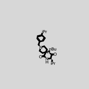 CCCCN1C(=O)[C@H](CC(C)C)NC(=O)C12CCN(Cc1ccc(C(C)C)cc1)CC2